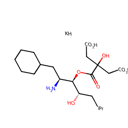 CC(C)C[C@H](O)[C@H](OC(=O)C(O)(CC(=O)O)CC(=O)O)[C@@H](N)CC1CCCCC1.[KH]